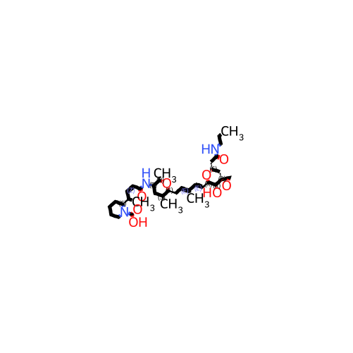 CCCNC(=O)C[C@@H]1C[C@@]2(CO2)[C@H](O)[C@@H](/C=C/C(C)=C/C[C@@H]2O[C@H](C)[C@H](NC(=O)/C=C\C(C)[C@@H]3CCCCN3C(=O)O)C[C@@H]2C)O1